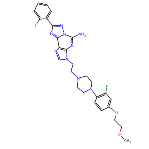 COCCOc1ccc(N2CCN(CCn3cnc4c3nc(N)n3nc(-c5ccccc5F)nc43)CC2)c(F)c1